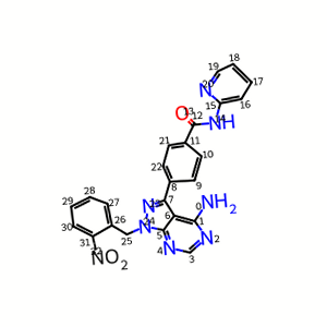 Nc1ncnc2c1c(-c1ccc(C(=O)Nc3ccccn3)cc1)nn2Cc1ccccc1[N+](=O)[O-]